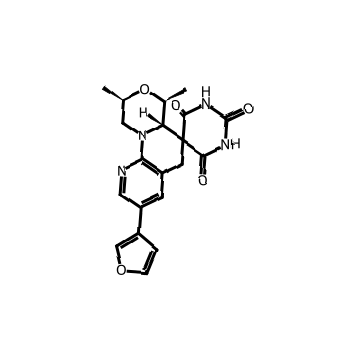 C[C@@H]1CN2c3ncc(-c4ccoc4)cc3CC3(C(=O)NC(=O)NC3=O)[C@H]2[C@H](C)O1